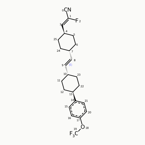 N#CC(F)=C[C@H]1CC[C@H](/C=C/[C@H]2CC[C@H](c3ccc(OC(F)(F)F)cc3)CC2)CC1